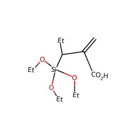 C=C(C(=O)O)C(CC)[Si](OCC)(OCC)OCC